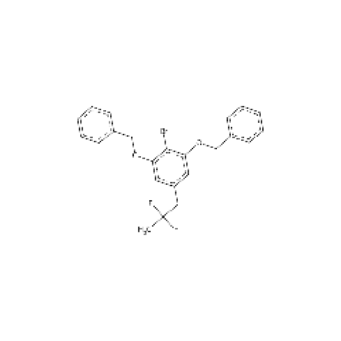 CC(F)(F)Cc1cc(OCc2ccccc2)c(Br)c(OCc2ccccc2)c1